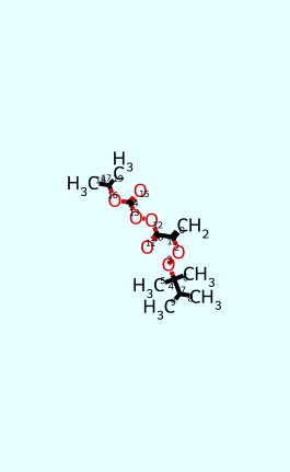 C=C(OOC(C)(C)C(C)C)C(=O)OOC(=O)OC(C)C